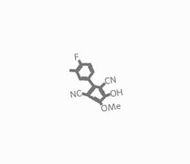 COc1cc(C#N)c(-c2ccc(F)c(C)c2)c(C#N)c1O